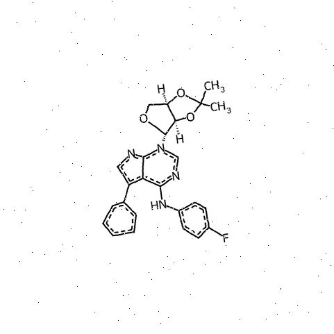 CC1(C)O[C@H]2[C@H](n3cnc(Nc4ccc(F)cc4)c4c(-c5ccccc5)cnc3-4)OC[C@H]2O1